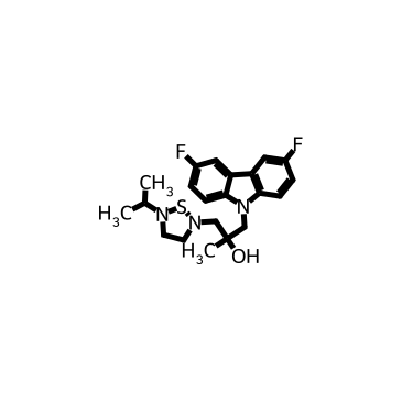 CC(C)N1CCN(CC(C)(O)Cn2c3ccc(F)cc3c3cc(F)ccc32)S1